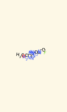 COc1ccc(C(=NN)c2c(N)ncnc2Nc2ccc3c(cnn3Cc3cccc(F)c3)c2)cc1